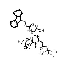 CC(C)(C)OC(=O)NC(=NC[C@@H](NC(=O)OCC1c2ccccc2-c2ccccc21)C(=O)O)NC(=O)OC(C)(C)C